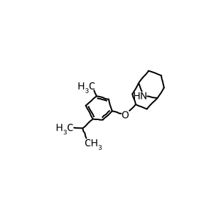 Cc1cc(OC2CC3CCCC(C2)N3)cc(C(C)C)c1